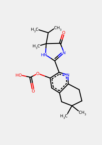 CC(C)C1(C)NC(c2nc3c(cc2OC(=O)O)CC(C)(C)CC3)=NC1=O